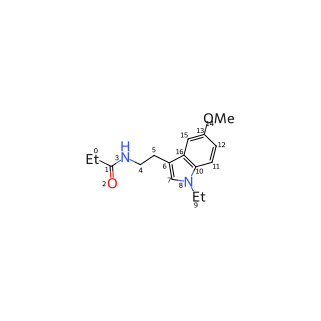 CCC(=O)NCCc1cn(CC)c2ccc(OC)cc12